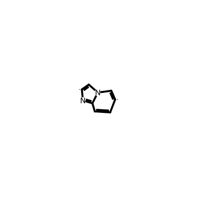 [c]1ccc2n[c]cn2c1